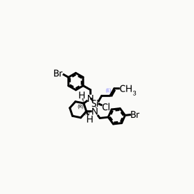 C/C=C/C[Si]1(Cl)N(Cc2ccc(Br)cc2)[C@@H]2CCCC[C@H]2N1Cc1ccc(Br)cc1